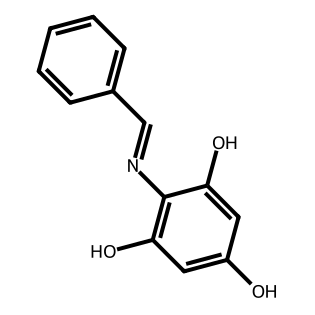 Oc1cc(O)c(N=Cc2ccccc2)c(O)c1